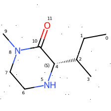 CCC(C)[C@@H]1NCCN(C)C1=O